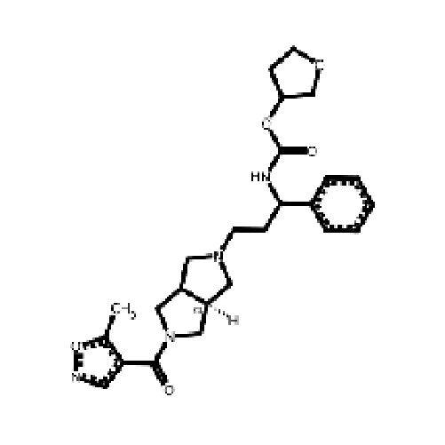 Cc1oncc1C(=O)N1CC2CN(CCC(NC(=O)OC3CCOC3)c3ccccc3)C[C@H]2C1